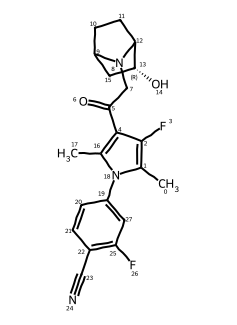 Cc1c(F)c(C(=O)CN2C3CCC2[C@H](O)C3)c(C)n1-c1ccc(C#N)c(F)c1